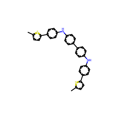 Cc1ccc(-c2ccc(Nc3ccc(-c4ccc(Nc5ccc(-c6ccc(C)s6)cc5)cc4)cc3)cc2)s1